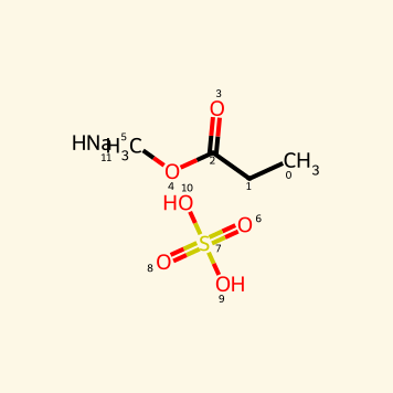 CCC(=O)OC.O=S(=O)(O)O.[NaH]